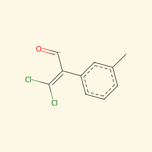 Cc1cccc(C([C]=O)=C(Cl)Cl)c1